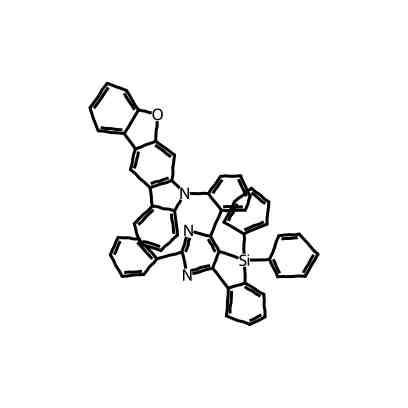 c1ccc(-c2nc(-c3ccccc3-n3c4ccccc4c4cc5c(cc43)oc3ccccc35)c3c(n2)-c2ccccc2[Si]3(c2ccccc2)c2ccccc2)cc1